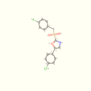 O=S(=O)(Cc1ccc(F)cc1)c1ncc(-c2ccc(Cl)cc2)o1